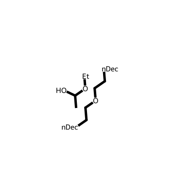 CCCCCCCCCCCCOCCCCCCCCCCCC.CCOC(C)O